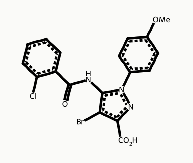 COc1ccc(-n2nc(C(=O)O)c(Br)c2NC(=O)c2ccccc2Cl)cc1